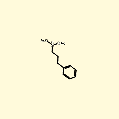 CC(=O)O[SiH](CCCc1ccccc1)OC(C)=O